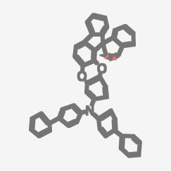 c1ccc(-c2ccc(N(c3ccc(-c4ccccc4)cc3)c3ccc4c(c3)Oc3ccc5c(c3O4)C3(c4ccccc4-c4ccccc43)c3ccccc3-5)cc2)cc1